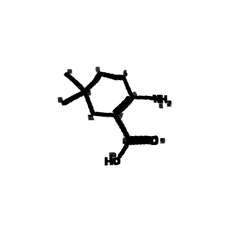 CC1(C)CCC(N)=C(C(=O)O)C1